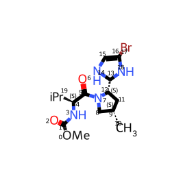 COC(=O)N[C@H](C(=O)N1C[C@@H](C)C[C@H]1C1NC=C(Br)N1)C(C)C